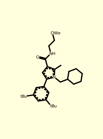 COCCNC(=O)c1cc(-c2cc(C(C)(C)C)cc(C(C)(C)C)c2)n(CC2CCCCC2)c1C